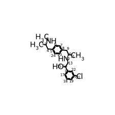 CNC(C)Cc1ccc(CC(C)NCC(O)c2cccc(Cl)c2)cc1